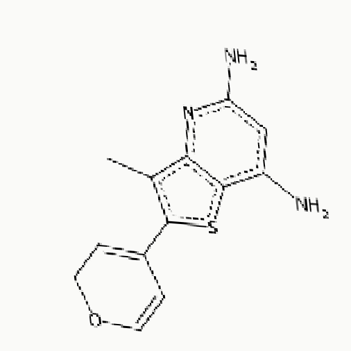 Cc1c(C2=CCOC=C2)sc2c(N)cc(N)nc12